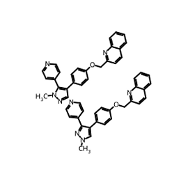 Cn1cc(-c2ccc(OCc3ccc4ccccc4n3)cc2)c(-c2ccncc2)n1.Cn1ncc(-c2ccc(OCc3ccc4ccccc4n3)cc2)c1-c1ccncc1